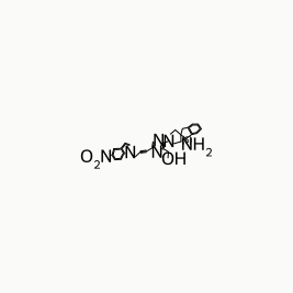 N[C@@H]1c2ccccc2CC12CCN(c1ncc(C#CCn3ccc4cc([N+](=O)[O-])ccc43)nc1CO)CC2